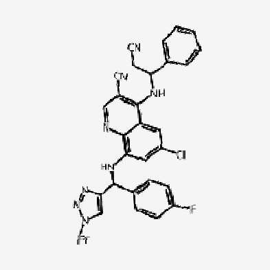 CC(C)n1cc([C@@H](Nc2cc(Cl)cc3c(NC(CC#N)c4ccccc4)c(C#N)cnc23)c2ccc(F)cc2)nn1